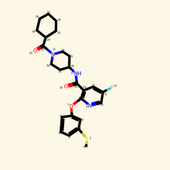 CSc1cccc(Oc2ncc(F)cc2C(=O)NC2CCN(C(=O)C3CCCCC3)CC2)c1